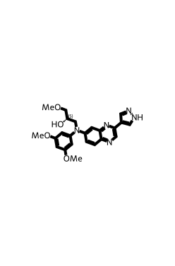 COC[C@@H](O)CN(c1cc(OC)cc(OC)c1)c1ccc2ncc(-c3cn[nH]c3)nc2c1